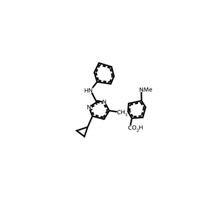 CNc1ccc(C(=O)O)cc1.Cc1cc(C2CC2)nc(Nc2ccccc2)n1